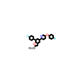 CNc1cc2cc(-c3ccc(Oc4ccc(F)cc4)cn3)cc(-c3ccc(F)cc3)c2o1